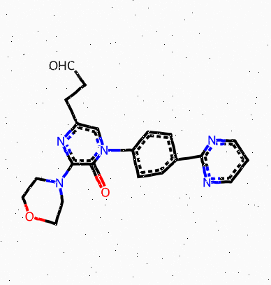 O=CCCc1cn(-c2ccc(-c3ncccn3)cc2)c(=O)c(N2CCOCC2)n1